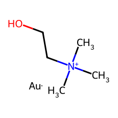 C[N+](C)(C)CCO.[Au]